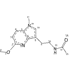 COc1ccc2c(n1)c(CCNC(C)=O)cn2C